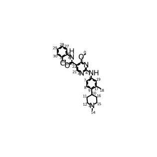 COc1nc(Nc2ccc(C3CCN(C)CC3)c(C)c2)ncc1C(=O)Nc1ccccc1Cl